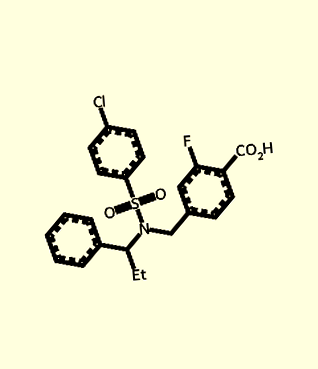 CCC(c1ccccc1)N(Cc1ccc(C(=O)O)c(F)c1)S(=O)(=O)c1ccc(Cl)cc1